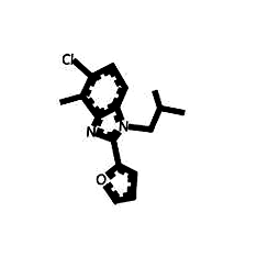 Cc1c(Cl)ccc2c1nc(-c1cc[c]o1)n2CC(C)C